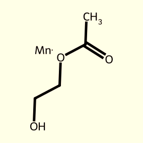 CC(=O)OCCO.[Mn]